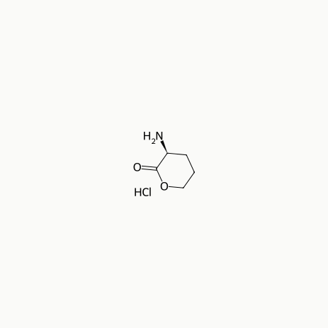 Cl.N[C@H]1CCCOC1=O